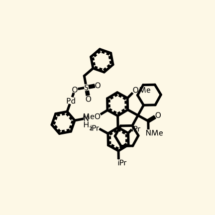 CNC(=O)C(c1c(OC)ccc(OC)c1-c1c(C(C)C)cc(C(C)C)cc1C(C)C)(C1CCCCC1)C1CCCCC1.Nc1cccc[c]1[Pd][O]S(=O)(=O)Cc1ccccc1